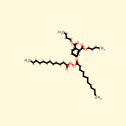 CCCCCCCCCCCC(=O)OOC(=O)CCCCCCCCCCC.CCCCOC(=O)c1ccccc1C(=O)OCCCC